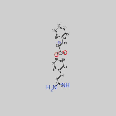 N=C(N)C=Cc1ccc(OC(=O)/C=C/c2ccccc2)cc1